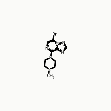 CN1CCN(c2ncc(Br)n3ncnc23)CC1